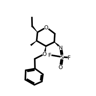 CC[C@H]1OC[C@@H](N=S(=O)(F)F)[C@@H](OCc2ccccc2)[C@H]1C